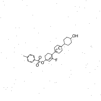 Cc1ccc(S(=O)(=O)OC23C=C(F)C(C45CCC(C6CCC(O)CC6)(CC4)CC5)(CC2)CC3)cc1